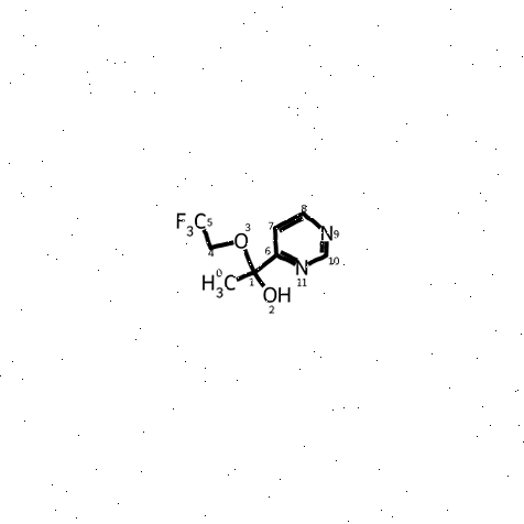 CC(O)(OCC(F)(F)F)c1ccncn1